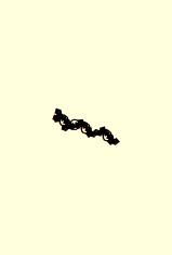 CCC(C)COCC(C)CCCC(C)COCC(C)COCC(CC)COCC(CC)C(C)C